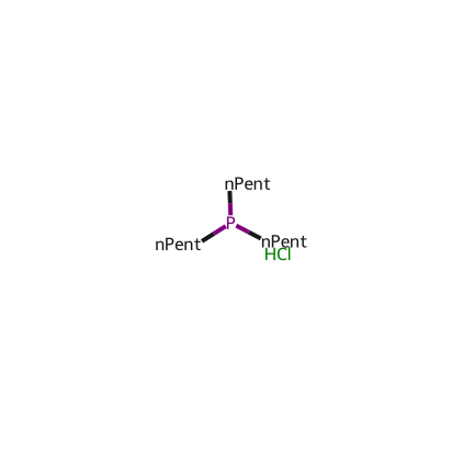 CCCCCP(CCCCC)CCCCC.Cl